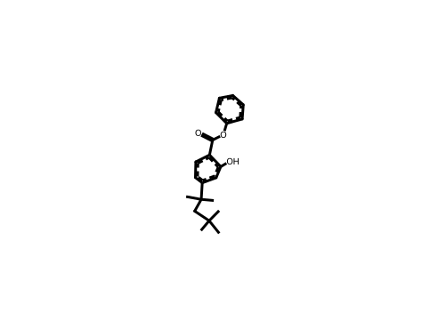 CC(C)(C)CC(C)(C)c1ccc(C(=O)Oc2ccccc2)c(O)c1